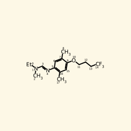 CCN(C)/C=N/c1cc(C)c(OCCCC(F)(F)F)cc1C